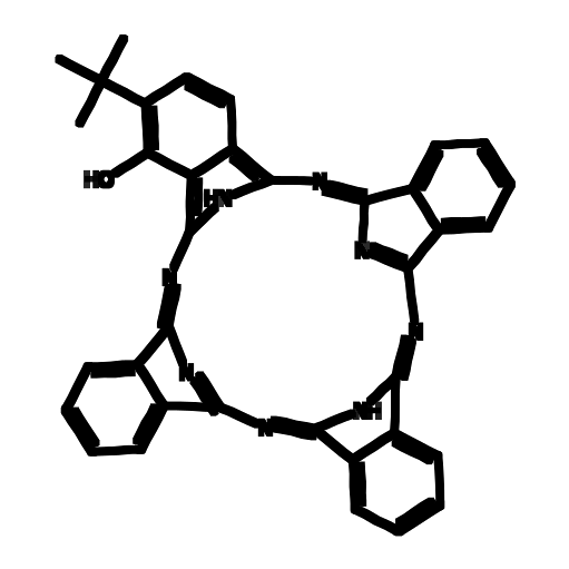 CC(C)(C)c1ccc2c3nc4nc(nc5[nH]c(nc6nc(nc([nH]3)c2c1O)-c1ccccc1-6)c1ccccc51)-c1ccccc1-4